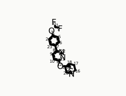 FC(F)Oc1ccc(-c2ccc(OC3CN4CCC3CC4)nn2)cc1